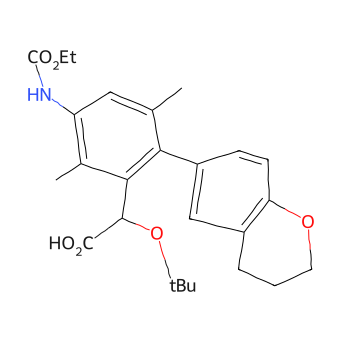 CCOC(=O)Nc1cc(C)c(-c2ccc3c(c2)CCCO3)c(C(OC(C)(C)C)C(=O)O)c1C